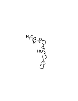 Cc1nnc(-c2cc3c(OC[C@@H](O)CN4CCC(c5cc6ccccc6s5)CC4)cccc3o2)o1